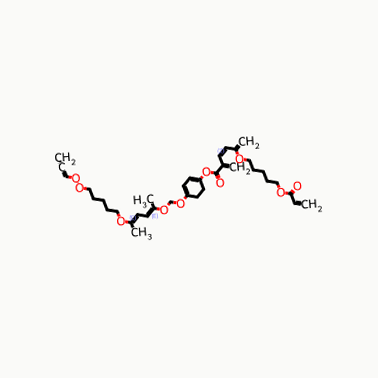 C=C=COOCCCCCO/C(C)=C/C=C(\C)OCOC1=CC=C(OC(=O)C(=C)/C=C\C(=C)OCCCCCOC(=O)C=C)CC1